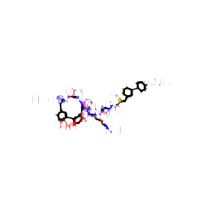 CCCCCCCCCc1ccc(-c2ccc3sc(C(=O)NCCC(=O)N[C@@H](CCCCN)C(=O)N(C)[C@@H]4C(=O)N[C@@H](C)C(=O)N[C@H](C(=O)O)Cc5ccc(O)c(c5)-c5cc4ccc5O)cc3c2)cc1